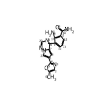 Cc1cnc(-c2cc3c(-c4cccc(C(N)=O)c4N)ncnn3c2)o1